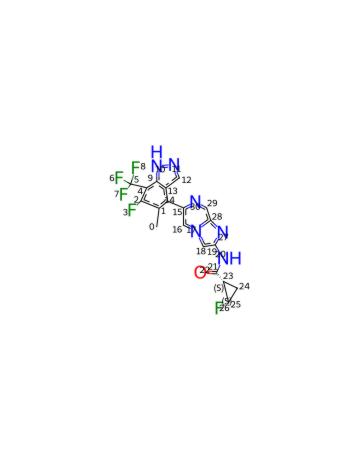 Cc1c(F)c(C(F)(F)F)c2[nH]ncc2c1-c1cn2cc(NC(=O)[C@@H]3C[C@@H]3F)nc2cn1